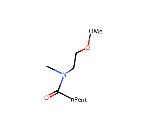 CCCCCC(=O)N(C)CCOOC